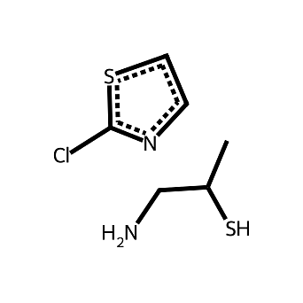 CC(S)CN.Clc1nccs1